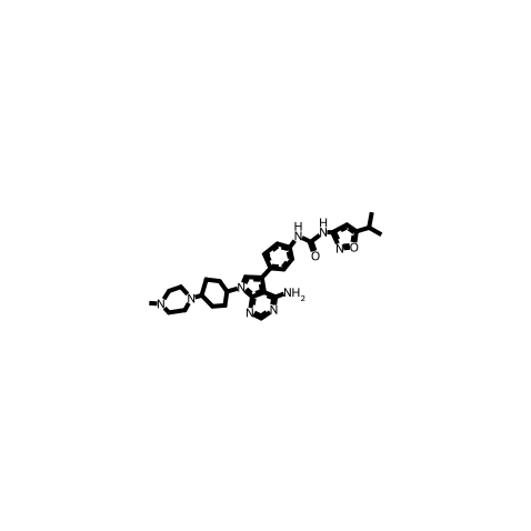 CC(C)c1cc(NC(=O)Nc2ccc(-c3cn(C4CCC(N5CCN(C)CC5)CC4)c4ncnc(N)c34)cc2)no1